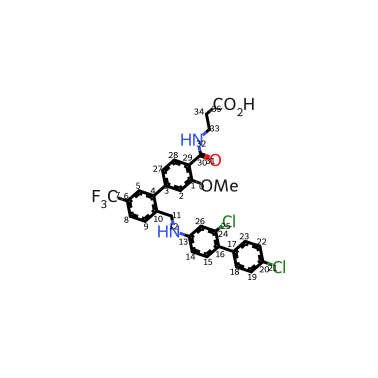 COc1cc(-c2cc(C(F)(F)F)ccc2CNc2ccc(-c3ccc(Cl)cc3)c(Cl)c2)ccc1C(=O)NCCC(=O)O